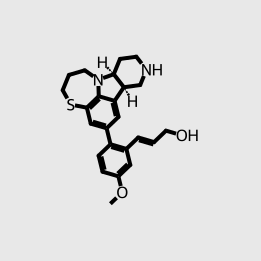 COc1ccc(-c2cc3c4c(c2)[C@@H]2CNCC[C@@H]2N4CCCS3)c(/C=C/CO)c1